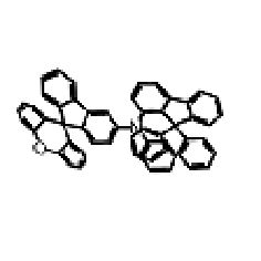 c1ccc(N(c2ccc3c(c2)-c2ccccc2C32c3ccccc3Oc3ccccc32)c2cccc3c2C(c2ccccc2)(c2ccccc2)c2ccccc2-3)cc1